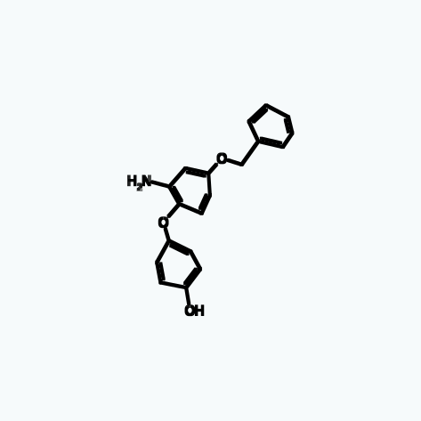 Nc1cc(OCc2ccccc2)ccc1Oc1ccc(O)cc1